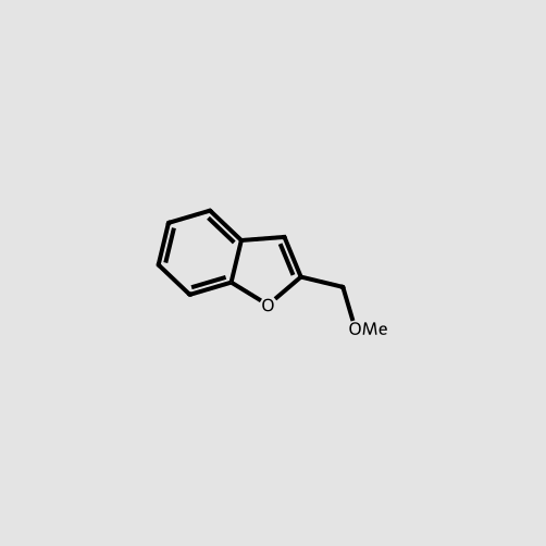 COCc1cc2ccccc2o1